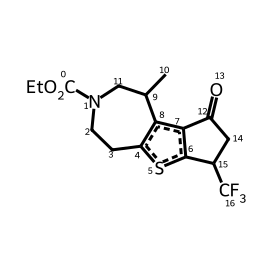 CCOC(=O)N1CCc2sc3c(c2C(C)C1)C(=O)CC3C(F)(F)F